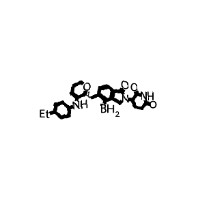 Bc1c(C[C@H]2OCCCC2NC2CCC(CC)CC2)ccc2c1CN(C1CCC(=O)NC1=O)C2=O